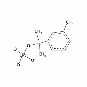 Cc1cccc(S(C)(C)O[Cl+3]([O-])([O-])[O-])c1